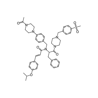 CC(=O)N1CCN(c2ccc(CN(C(=O)C=Cc3ccc(OC(C)C)cc3)C(Cc3ccccc3)C(=O)N3CCN(Cc4ccc(S(C)(=O)=O)cc4)CC3)cc2)CC1